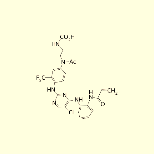 C=CC(=O)Nc1ccccc1Nc1nc(Nc2ccc(N(CCNC(=O)O)C(C)=O)cc2C(F)(F)F)ncc1Cl